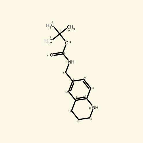 CC(C)(C)OC(=O)NCc1ccc2c(c1)CCCN2